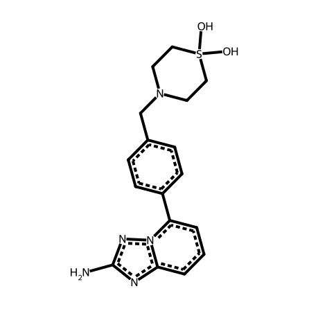 Nc1nc2cccc(-c3ccc(CN4CCS(O)(O)CC4)cc3)n2n1